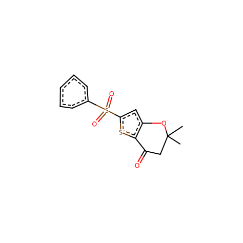 CC1(C)CC(=O)c2sc(S(=O)(=O)c3ccccc3)cc2O1